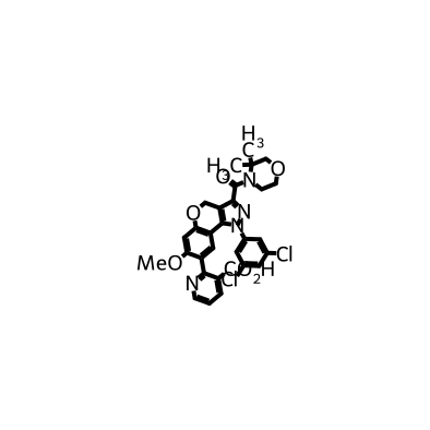 COc1cc2c(cc1-c1ncccc1C(=O)O)-c1c(c(C(=O)N3CCOCC3(C)C)nn1-c1cc(Cl)cc(Cl)c1)CO2